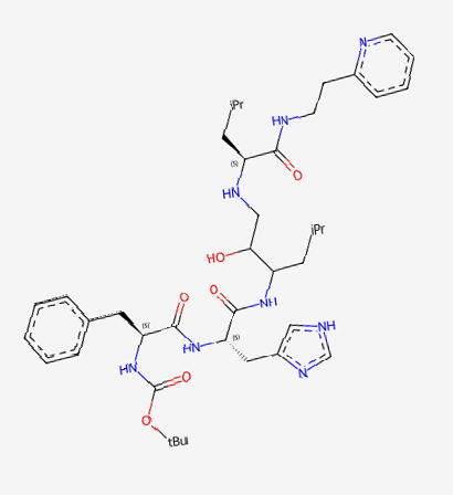 CC(C)CC(NC(=O)[C@H](Cc1c[nH]cn1)NC(=O)[C@H](Cc1ccccc1)NC(=O)OC(C)(C)C)C(O)CN[C@@H](CC(C)C)C(=O)NCCc1ccccn1